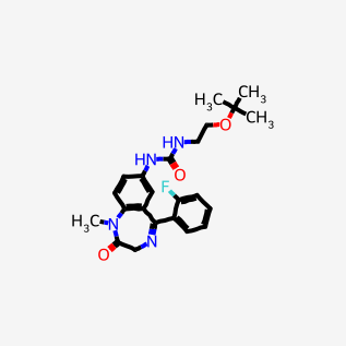 CN1C(=O)CN=C(c2ccccc2F)c2cc(NC(=O)NCCOC(C)(C)C)ccc21